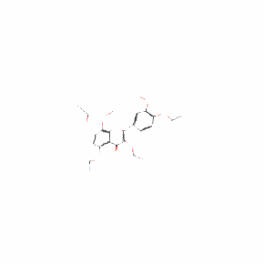 CCOc1ccc(-c2oc3c(OC)c(OCC)cc(OCC)c3c(=O)c2OCC)cc1OC